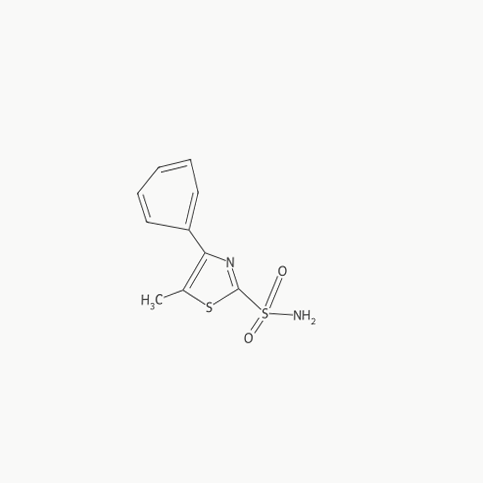 Cc1sc(S(N)(=O)=O)nc1-c1ccccc1